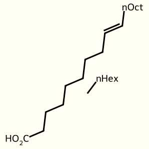 CCCCCCC.CCCCCCCCC=CCCCCCCCC(=O)O